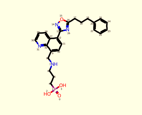 O=P(O)(O)CCCNCc1ccc(-c2noc(CCCc3ccccc3)n2)c2cccnc12